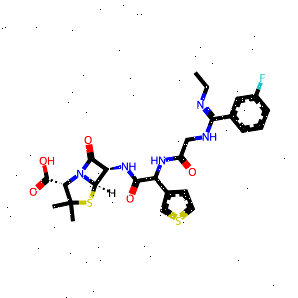 CCN=C(NCC(=O)NC(C(=O)N[C@@H]1C(=O)N2[C@@H]1SC(C)(C)[C@@H]2C(=O)O)c1ccsc1)c1cccc(F)c1